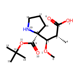 CO[C@H]([C@@H](C)C(=O)O)[C@]1(C(=O)OC(C)(C)C)CCCN1